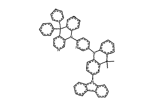 CC1(C)c2ccccc2N(c2ccc(N3c4ccccc4C(c4ccccc4)(c4ccccc4)c4ccncc43)nc2)c2ccc(-n3c4ccccc4c4ccccc43)cc21